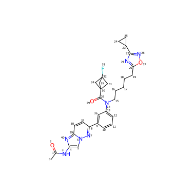 CC(=O)Nc1cn2nc(-c3cccc(N(CCCCCc4nc(C5CC5)no4)C(=O)C45CC(F)(C4)C5)c3)ccc2n1